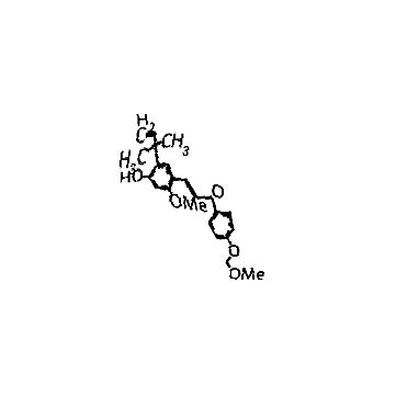 C=CC(C)(C)c1cc(C=CC(=O)c2ccc(OCOC)cc2)c(OC)cc1O